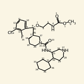 COC(=O)NCCO[C@@H](c1cccc(Cl)c1F)[C@@H]1CCCN(C(=O)NC2CNCCC2C2CCCCC2)C1